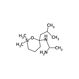 CC(C)CC1(NC(C)N)CCC[Si](C)(C)O1